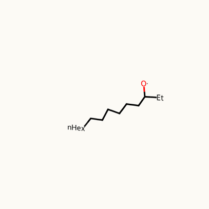 CCCCCCCCCCCCC([O])CC